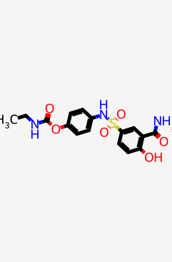 CCNC(=O)Oc1ccc(NS(=O)(=O)c2ccc(O)c(C(N)=O)c2)cc1